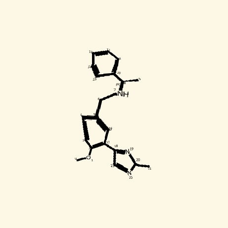 COc1ccc(CN[C@H](C)c2ccccc2)cc1C1=NC(C)N=C1